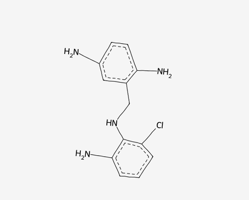 Nc1ccc(N)c(CNc2c(N)cccc2Cl)c1